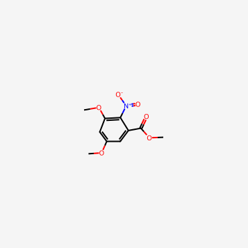 COC(=O)c1cc(OC)cc(OC)c1[N+](=O)[O-]